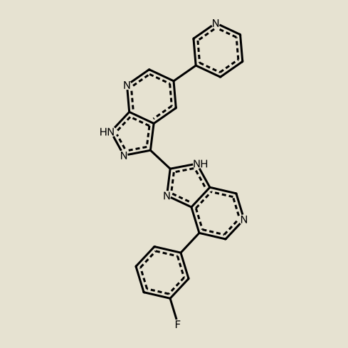 Fc1cccc(-c2cncc3[nH]c(-c4n[nH]c5ncc(-c6cccnc6)cc45)nc23)c1